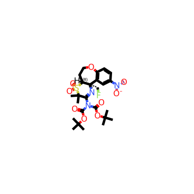 CC(C)(C)OC(=O)N(C(=O)OC(C)(C)C)C1=N[C@]2(CF)c3cc([N+](=O)[O-])ccc3OCC[C@H]2S(=O)(=O)C1(C)C